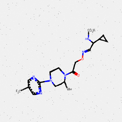 CC(C)(C)C1CN(c2ncc(C(F)(F)F)cn2)CCN1C(=O)CON=CC(NC(=O)O)C1CC1